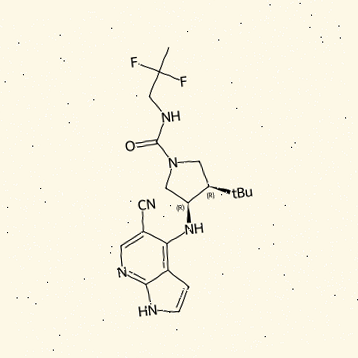 CC(F)(F)CNC(=O)N1C[C@H](Nc2c(C#N)cnc3[nH]ccc23)[C@H](C(C)(C)C)C1